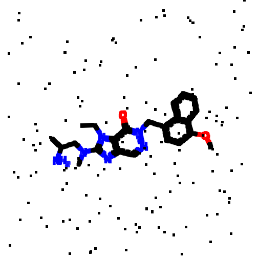 CCn1c(N(C)CC(C)N)nc2cnn(Cc3ccc(OC)c4ccccc34)c(=O)c21